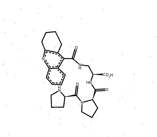 O=C(NC[C@H](NC(=O)[C@H]1CCCN1C(=O)[C@H]1CCCN1)C(=O)O)c1c2c(nc3ccccc13)CCCC2